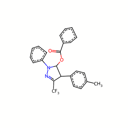 Cc1ccc(C2C(C(F)(F)F)=NN(c3ccccc3)C2OC(=O)c2ccccc2)cc1